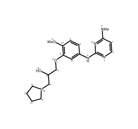 CNc1ccnc(Nc2ccc(OC)c(OCC(O)CN3CCCC3)c2)n1